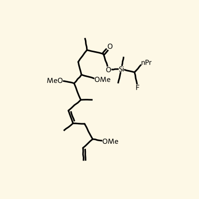 C=CC(CC(C)=CC(C)C(OC)C(CC(C)C(=O)O[Si](C)(C)C(F)CCC)OC)OC